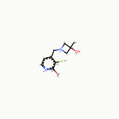 CC1(O)CN(Cc2ccnc(Br)c2F)C1